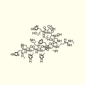 CC(C)C[C@H](NC(=O)[C@H](Cc1c[nH]cn1)NC(=O)[C@H](Cc1c[nH]cn1)NC(=O)[C@H](CCCCN)NC(=O)[C@H](Cc1c[nH]cn1)NC(=O)[C@H](CC(C)C)NC(=O)[C@@H](N)Cc1c[nH]cn1)C(=O)N[C@@H](CCCNC(=N)N)C(=O)N[C@@H](CO)C(=O)N[C@H](C(=O)N[C@H](C(=O)N[C@@H](Cc1c[nH]cn1)C(=O)O)[C@@H](C)O)[C@@H](C)O